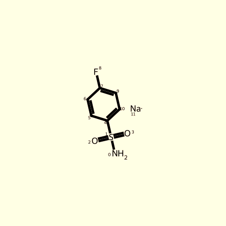 NS(=O)(=O)c1ccc(F)cc1.[Na]